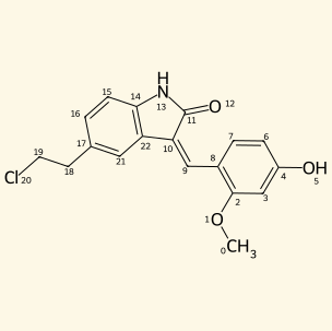 COc1cc(O)ccc1C=C1C(=O)Nc2ccc(CCCl)cc21